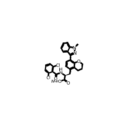 COC(=O)[C@H](Cc1ccc(-c2nn(C)c3ccccc23)c2c1CCCO2)NC(=O)c1c(Cl)cccc1Cl